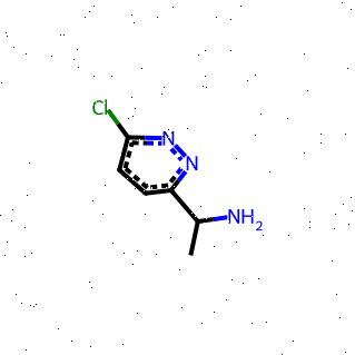 CC(N)c1ccc(Cl)nn1